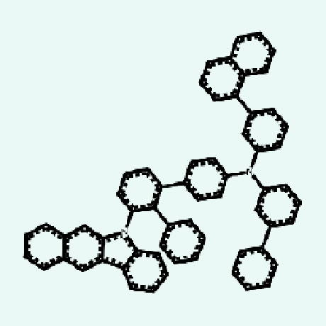 c1ccc(-c2cccc(N(c3ccc(-c4cccc(-n5c6ccccc6c6cc7ccccc7cc65)c4-c4ccccc4)cc3)c3cccc(-c4cccc5ccccc45)c3)c2)cc1